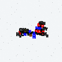 C=CC(CC(=O)NCc1nc(C2=NC(C)(C(=O)OC)CS2)cs1)OC(=O)[C@@H](NC(=O)OC(C)(C)C)C(C)C